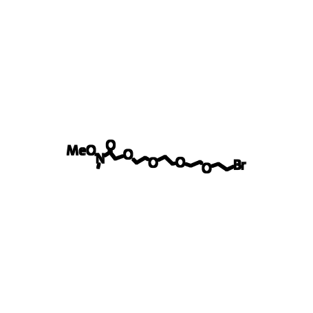 CON(C)C(=O)COCCOCCOCCOCCBr